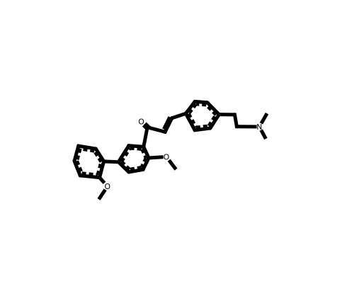 COc1ccc(-c2ccccc2OC)cc1C(=O)C=Cc1ccc(CCN(C)C)cc1